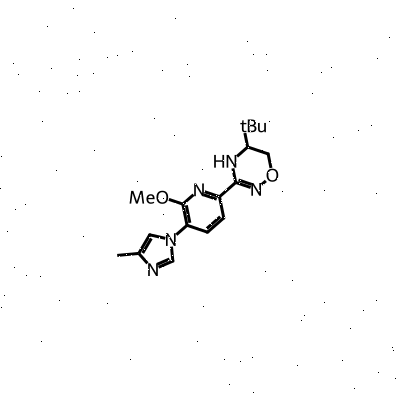 COc1nc(C2=NOCC(C(C)(C)C)N2)ccc1-n1cnc(C)c1